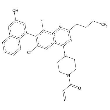 C=CC(=O)N1CCN(c2nc(CCCC(F)(F)F)nc3c(F)c(-c4cc(O)cc5ccccc45)c(Cl)cc23)CC1